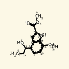 COC(=O)c1cc2c(C(O)CN)ccc(O)c2[nH]1.Cl